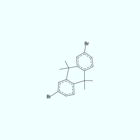 CC1(C)c2ccc(Br)cc2C(C)(C)c2cc(Br)ccc21